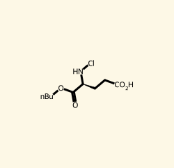 CCCCOC(=O)[C@H](CCC(=O)O)NCl